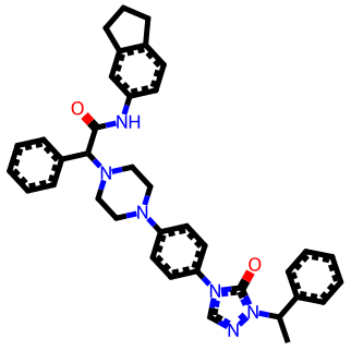 CC(c1ccccc1)n1ncn(-c2ccc(N3CCN(C(C(=O)Nc4ccc5c(c4)CCC5)c4ccccc4)CC3)cc2)c1=O